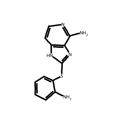 Nc1ccccc1Sc1nc2c(N)nccc2[nH]1